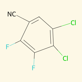 N#Cc1cc(Cl)c(Cl)c(F)c1F